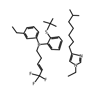 CCc1cccc(B(CCC=CC(F)(F)F)c2ccccc2SC(C)(C)C)c1.CCn1cnc(CCCCCC(C)C)c1